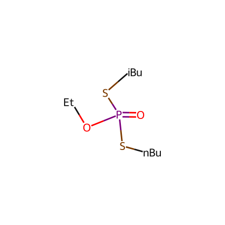 CCCCSP(=O)(OCC)SC(C)CC